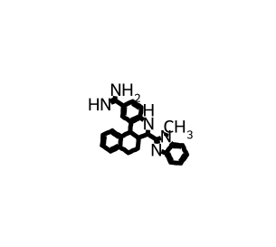 Cn1c(C2Nc3ccc(C(=N)N)cc3C3c4ccccc4CCC23)nc2ccccc21